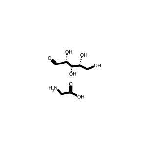 NCC(=O)O.O=C[C@H](O)[C@@H](O)[C@H](O)CO